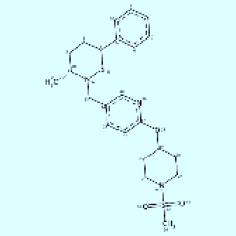 C[C@@H]1CCC(c2ccccc2)SN1Cc1ccc(OC2CCN(S(C)(=O)=O)CC2)nc1